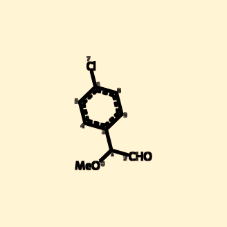 COC(C=O)c1ccc(Cl)cc1